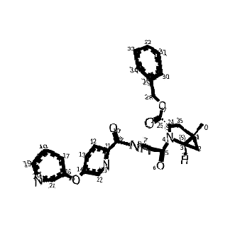 C[C@@]12C[C@@H]1N(C(=O)CNC(=O)c1ccc(Oc3cccnc3)cn1)[C@H](C(=O)OCc1ccccc1)C2